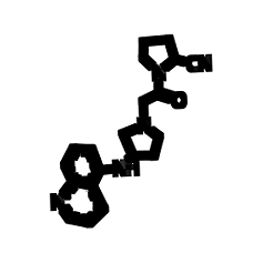 N#CC1CCCN1C(=O)CN1CCC(Nc2cccc3ncccc23)C1